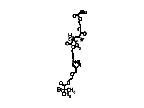 CCC(C)C(=O)OCCOC(=O)C(Br)CC(C)(C)C(=O)OCCCn1cc(COCCOC(=O)C(C)(C)CC)nn1